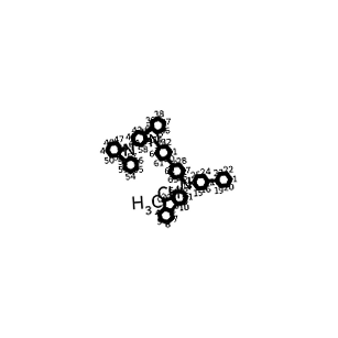 CC1(C)c2ccccc2-c2ccc(N(c3ccc(-c4ccccc4)cc3)c3ccc(-c4ccc(-n5c6ccccc6c6ccc(-n7c8ccccc8c8ccccc87)cc65)cc4)cc3)cc21